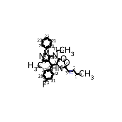 CC/C=C/C(=O)NC1C(=O)N(CC)c2c(c(C)nn2-c2ccccc2)C1c1ccc(F)cc1